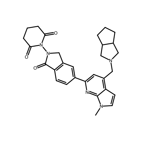 Cn1ccc2c(CN3CC4CCCC4C3)cc(-c3ccc4c(c3)CN(N3C(=O)CCCC3=O)C4=O)nc21